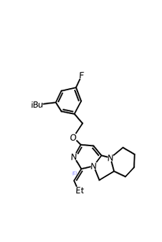 CC/C=C1/N=C(OCc2cc(F)cc(C(C)CC)c2)C=C2N1CC1CCCCN21